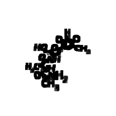 Cc1cn([C@H]2C[C@H](NC(=O)[C@H](C)NC(=O)[C@H](C)N)[C@@H](CO)O2)c(=O)[nH]c1=O